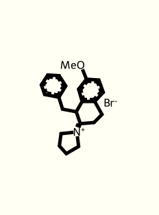 COc1ccc2c(c1)C(Cc1ccccc1)C(=[N+]1CCCC1)CC2.[Br-]